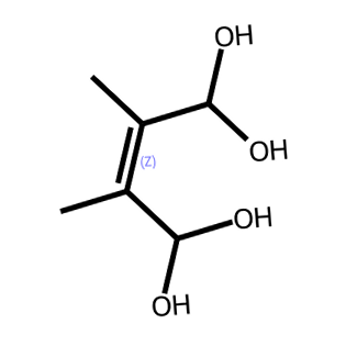 C/C(=C(\C)C(O)O)C(O)O